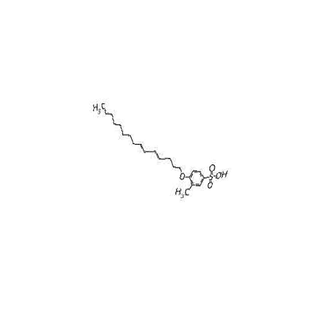 CCCCCCCCCCCCCCCOc1ccc(S(=O)(=O)O)cc1C